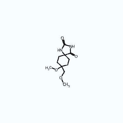 COCC1(OC)CCC2(CC1)NC(=O)NC2=O